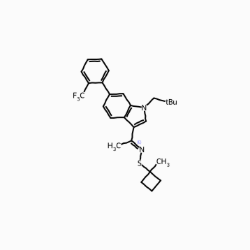 C/C(=N\SC1(C)CCC1)c1cn(CC(C)(C)C)c2cc(-c3ccccc3C(F)(F)F)ccc12